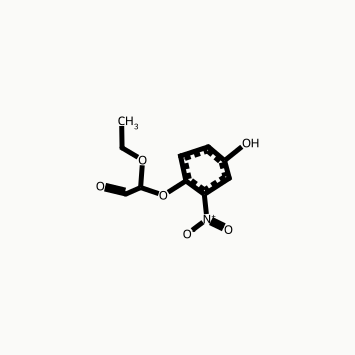 CCOC(C=O)Oc1ccc(O)cc1[N+](=O)[O-]